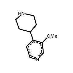 COc1cnccc1C1CCNCC1